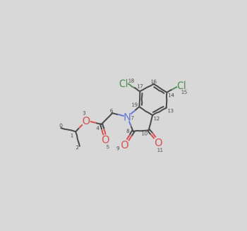 CC(C)OC(=O)CN1C(=O)C(=O)c2cc(Cl)cc(Cl)c21